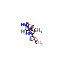 COC1CN=CC(C2=CC(C)C3C(=O)N(C4=NNCC4)C(C)(C)C3N2)C1